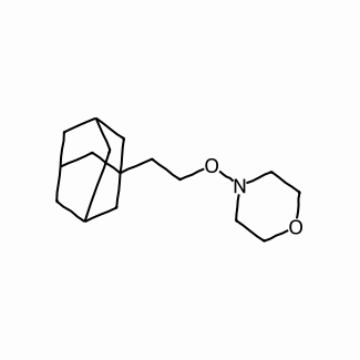 C1CN(OCCC23CC4CC(CC(C4)C2)C3)CCO1